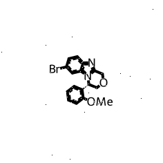 COc1ccccc1[C@H]1COCc2nc3ccc(Br)cc3n21